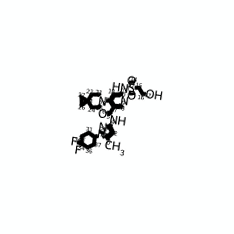 Cc1cc(NC(=O)c2cnc(NS(=O)(=O)CCO)cc2N2CCC3(CC2)CC3)nn1C1CCC(F)(F)CC1